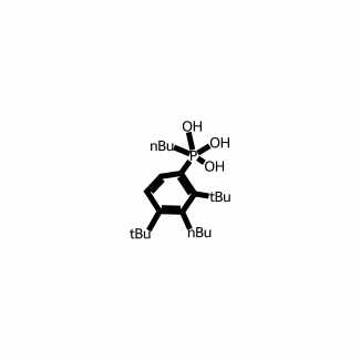 CCCCc1c(C(C)(C)C)ccc(P(O)(O)(O)CCCC)c1C(C)(C)C